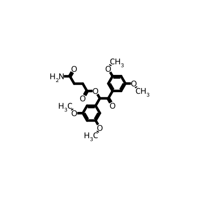 COc1cc(OC)cc(C(=O)C(OC(=O)CCC(N)=O)c2cc(OC)cc(OC)c2)c1